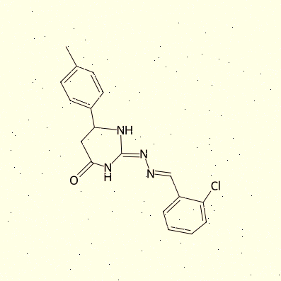 Cc1ccc(C2CC(=O)NC(=NN=Cc3ccccc3Cl)N2)cc1